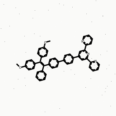 COc1ccc(C(=C(c2ccccc2)c2ccc(-c3ccc(-c4cc(-c5ccccn5)nc(-c5ccccn5)c4)cc3)cc2)c2ccc(OC)cc2)cc1